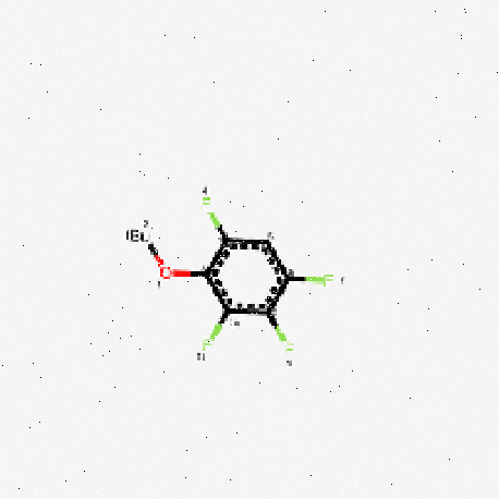 CC(C)(C)Oc1c(F)cc(F)c(F)c1F